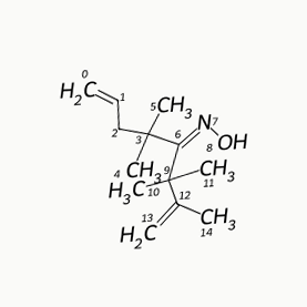 C=CCC(C)(C)/C(=N/O)C(C)(C)C(=C)C